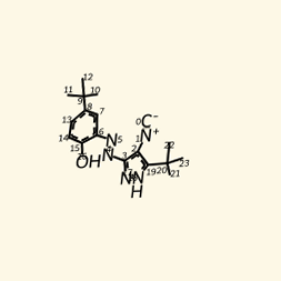 [C-]#[N+]c1c(N=Nc2cc(C(C)(C)C)ccc2O)n[nH]c1C(C)(C)C